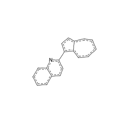 c1ccc2ccc(-c3ccc4ccccc4n3)c-2cc1